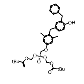 C=C(OCOP(=O)(COc1cc(C)c(Cc2ccc(O)c(Cc3ccccc3)c2)c(C)c1)OCOC(=O)C(C)(C)C)C(C)(C)C